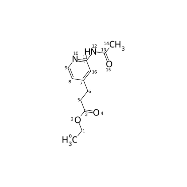 CCOC(=O)CCc1ccnc(NC(C)=O)c1